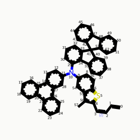 C=C/C=C\c1sc2ccc(N(c3ccc4c5ccccc5c5ccccc5c4c3)c3cccc4c3-c3ccccc3C43c4ccccc4-c4ccccc43)cc2c1C